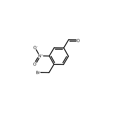 O=Cc1ccc(CBr)c([N+](=O)[O-])c1